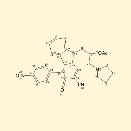 CC(=O)OC(CN1CCCC1)CN1c2ccccc2C2C1C=C(C#N)C(=O)N2c1ccc([N+](=O)[O-])cc1